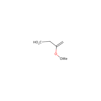 C=C(CC(=O)O)OOC